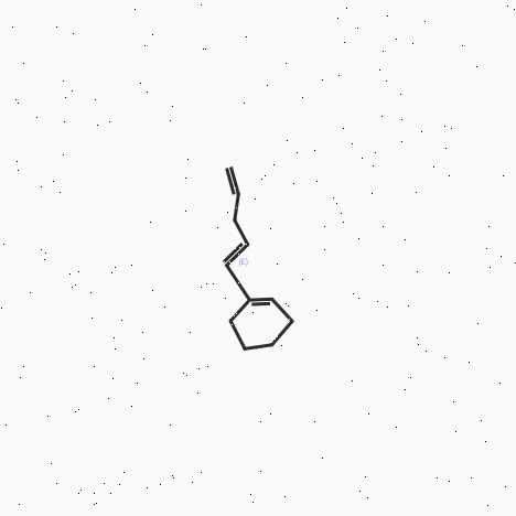 C=CC/C=C/C1=CCCCC1